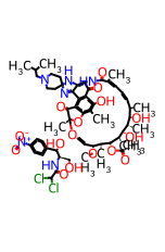 CO[C@@H]1/C=C\O[C@@]2(C)Oc3c(C)c(O)c4c(c3C2=O)C2=NC3(CCN(CC(C)C)CC3)NC2=C(NC(=O)/C(C)=C\C=C/[C@@H](C)[C@@H](O)[C@H](C)[C@H](O)[C@H](C)[C@H](OC(C)=O)[C@@H]1C)C4=O.O=C(N[C@H](CO)[C@H](O)c1ccc([N+](=O)[O-])cc1)C(Cl)Cl